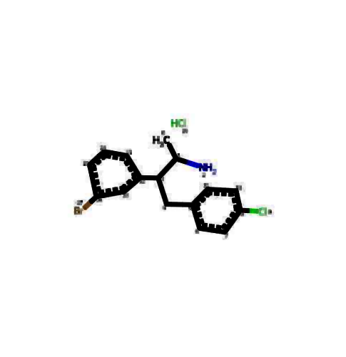 CC(N)C(Cc1ccc(Cl)cc1)c1cccc(Br)c1.Cl